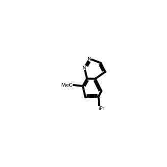 COc1cc(C(C)C)cc2ccnnc12